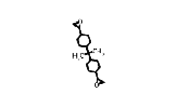 CC(C)(C1CCC(C2CO2)CC1)C1CCC(C2CO2)CC1